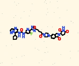 O=C1CCC(N2Cc3cc(N4CCN(C(=O)CCCc5nc(-c6ncc(NC(=O)Nc7cnc8ccnn8c7C7CCCC7)cc6F)no5)CC4)ccc3C2=O)C(=O)N1